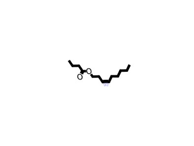 CCCCC/C=C\CCOC(=O)CCC